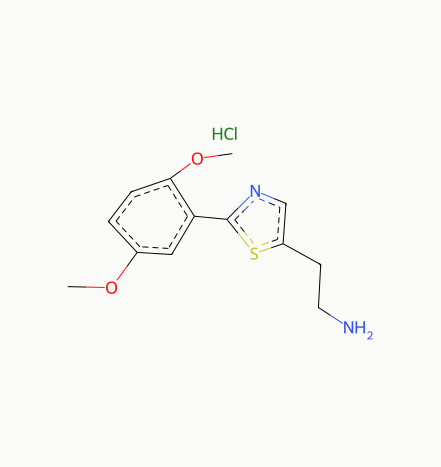 COc1ccc(OC)c(-c2ncc(CCN)s2)c1.Cl